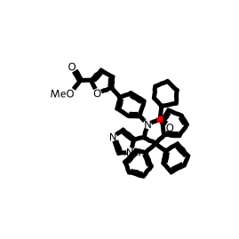 COC(=O)c1ccc(-c2ccc(N(C(=O)C3CCCCC3)C(c3cnc[nH]3)C(c3ccccc3)(c3ccccc3)c3ccccc3)cc2)o1